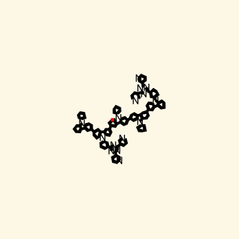 c1ccc(-n2c3ccccc3c3cc(-c4ccc5c(c4)c4cc(-c6ccc7c(c6)c6ccc(-c8ccc9c%10cc(-c%11ccc%12c(c%11)c%11ccccc%11n%12-c%11cccc(-c%12nc(-c%13cccnc%13)nc(-c%13cccnc%13)n%12)c%11)ccc%10n(-c%10ccccc%10)c9c8)cc6n7-c6ccccc6)ccc4n5-c4cccc(-c5nc(-c6cccnc6)nc(-c6cccnc6)n5)c4)ccc32)cc1